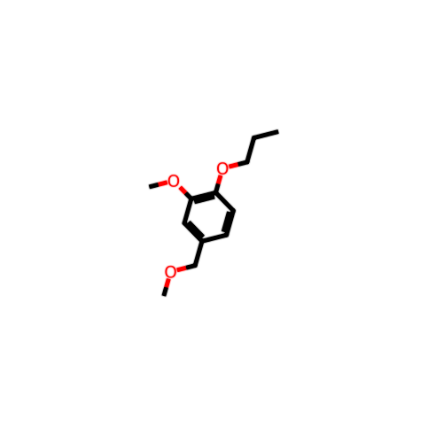 CCCOc1ccc(COC)cc1OC